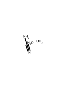 N#CN.O.O